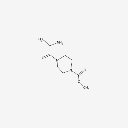 COC(=O)N1CCN(C(=O)C(C)N)CC1